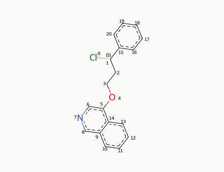 Cl[C@@H](CCOc1cncc2ccccc12)c1ccccc1